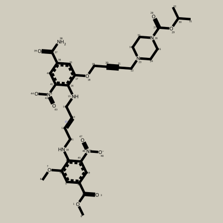 COC(=O)c1cc(OC)c(NC/C=C/CNc2c(OCC#CCN3CCN(C(=O)OC(C)C)CC3)cc(C(N)=O)cc2[N+](=O)[O-])c([N+](=O)[O-])c1